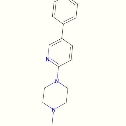 CN1CCN(c2ccc(-c3c[c]ccc3)cn2)CC1